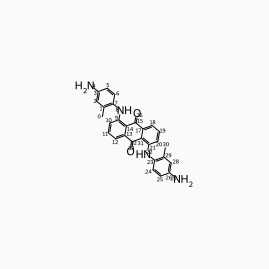 Cc1cc(N)ccc1Nc1cccc2c1C(=O)c1cccc(Nc3ccc(N)cc3C)c1C2=O